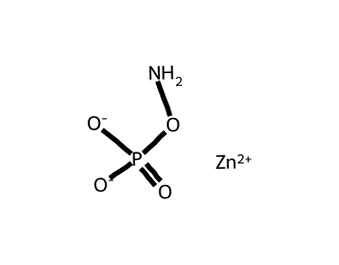 NOP(=O)([O-])[O-].[Zn+2]